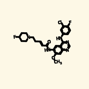 COc1cc2ncnc(Nc3ccc(F)c(Cl)c3)c2cc1NC(=O)C=CCCN1CCC(F)CC1